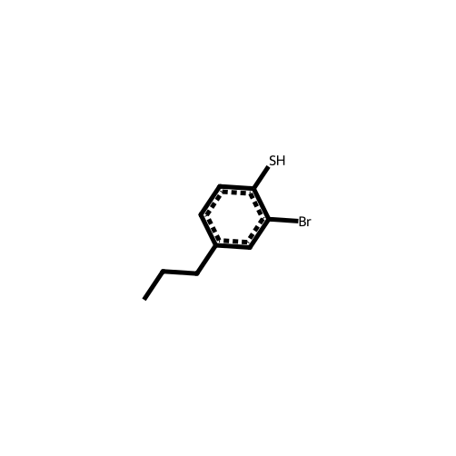 CCCc1ccc(S)c(Br)c1